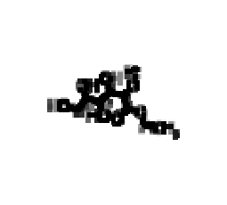 C=COC(=O)C(OCC)C(O)C(O)C(O)CO